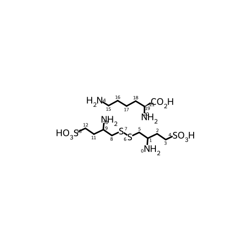 NC(CCS(=O)(=O)O)CSSCC(N)CCS(=O)(=O)O.NCCCC[C@H](N)C(=O)O